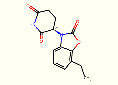 CCc1cccc2c1oc(=O)n2[C@@H]1CCC(=O)NC1=O